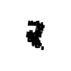 CSc1cccc(-c2ccc(C3CC(C(F)(F)C(F)(F)F)=NN3c3ccccc3Cl)nc2)c1